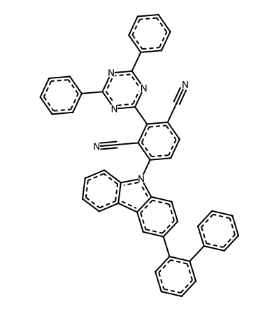 N#Cc1ccc(-n2c3ccccc3c3cc(-c4ccccc4-c4ccccc4)ccc32)c(C#N)c1-c1nc(-c2ccccc2)nc(-c2ccccc2)n1